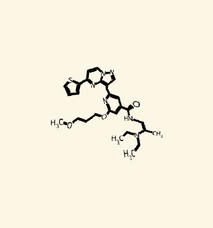 CCN(CC)C(C)CNC(=O)c1cc(OCCCOC)nc(-c2cnn3ccc(-c4cccs4)nc23)c1